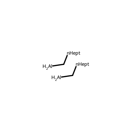 CCCCCCC[CH2][AlH2].CCCCCCC[CH2][AlH2]